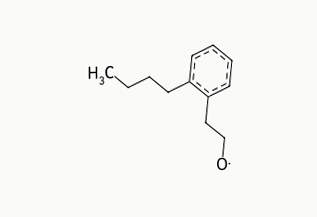 CCCCc1ccccc1CC[O]